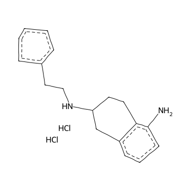 Cl.Cl.Nc1cccc2c1CCC(NCCc1ccccc1)C2